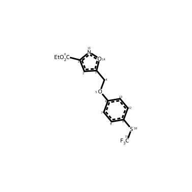 CCOC(=O)c1cc(COc2ccc(SC(F)(F)F)cc2)on1